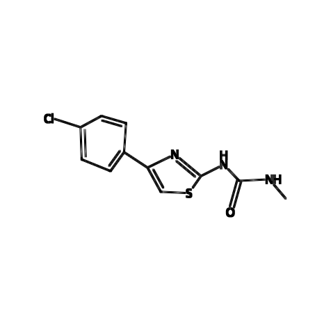 CNC(=O)Nc1nc(-c2ccc(Cl)cc2)cs1